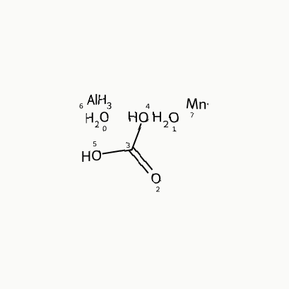 O.O.O=C(O)O.[AlH3].[Mn]